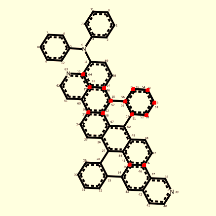 c1ccc(N(c2ccccc2)c2ccc(N(c3ccccc3)c3cccc4c(-c5ccccc5-c5ccc6cnccc6c5)c5ccccc5c(-c5ccccc5-c5ccc6ccncc6c5)c34)cc2)cc1